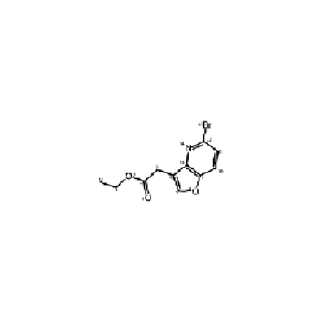 CCOC(=O)Cc1coc2ccc(Br)nc12